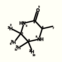 [2H]C1([2H])NC(=O)C(C)NC1([2H])[2H]